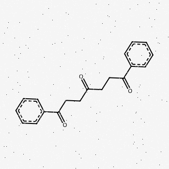 O=C(CCC(=O)c1ccccc1)CCC(=O)c1ccccc1